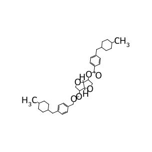 CC1CCC(Cc2ccc(COO[C@H]3CO[C@@H]4C(OC(=O)c5ccc(CC6CCC(C)CC6)cc5)CO[C@H]34)cc2)CC1